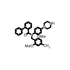 COc1cc(C)cc(OC)c1CN(C(=O)c1ccccc1-c1ccccc1)c1ccc(N2CCNCC2)cc1